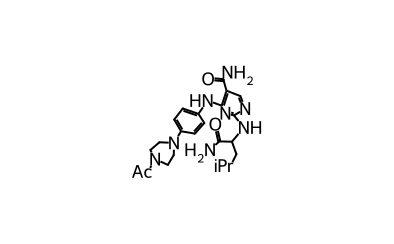 CC(=O)N1CCN(c2ccc(Nc3nc(NC(CC(C)C)C(N)=O)ncc3C(N)=O)cc2)CC1